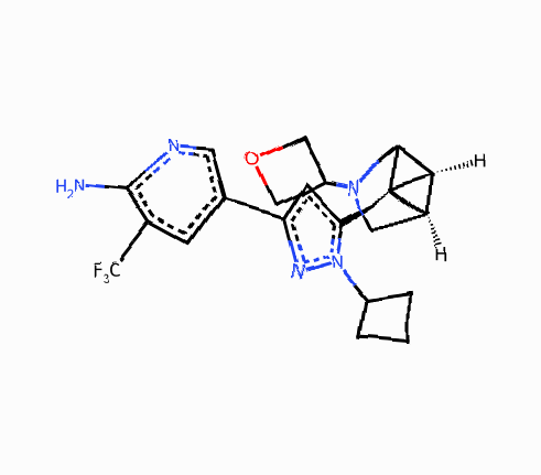 Nc1ncc(-c2cc([C@@]34C5[C@H]3[C@H]4CN5C3COC3)n(C3CCC3)n2)cc1C(F)(F)F